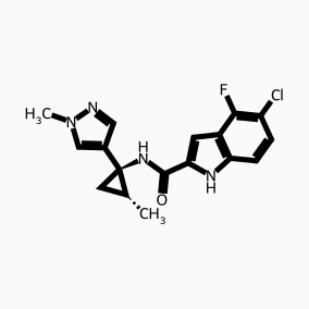 C[C@@H]1C[C@]1(NC(=O)c1cc2c(F)c(Cl)ccc2[nH]1)c1cnn(C)c1